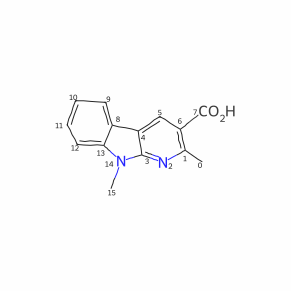 Cc1nc2c(cc1C(=O)O)c1ccccc1n2C